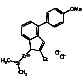 CCC1=Cc2c(-c3ccc(OC)cc3)cccc2[CH]1[Zr+2][Si](C)C.[Cl-].[Cl-]